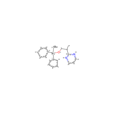 CC(CO[Si](c1ccccc1)(c1ccccc1)C(C)(C)C)c1ncccn1